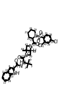 CC(C)(C)[C@H](NC(=O)c1cc2ccccc2[nH]1)C(=O)N1C[C@H]2N(C(=O)C3CCCCN3S(=O)(=O)c3ccc(Cl)cc3Cl)CC21C